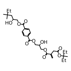 C=C(CC(=O)OC(C)(CC)CC)C(=O)OCC(O)COC(=O)c1ccc(C(=O)OCC(O)CC(C)(C)CC)cc1